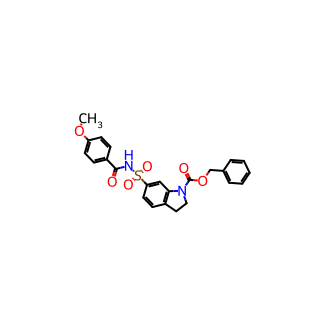 COc1ccc(C(=O)NS(=O)(=O)c2ccc3c(c2)N(C(=O)OCc2ccccc2)CC3)cc1